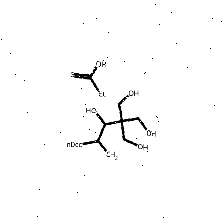 CCC(O)=S.CCCCCCCCCCC(C)C(O)C(CO)(CO)CO